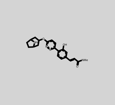 CNC(=O)/C=C/c1ccc(-c2ccc(OC3CC4CCC(C3)N4)nn2)c(O)c1